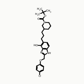 CC(C)(C)OC(=O)N1CCCC(CCCc2ccc3[nH]c(COc4ccc(Cl)cc4)nc3c2O)C1